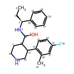 CC[C@H](NC(O)C1CCNCC1c1ccc(F)cc1C)c1ccccc1